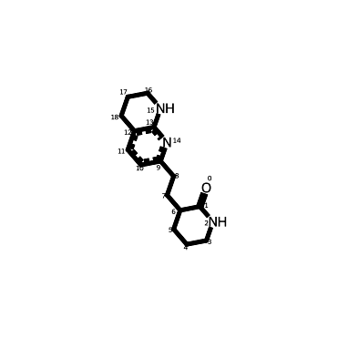 O=C1NCCCC1CCc1ccc2c(n1)NCCC2